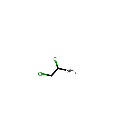 [SiH3]C(Cl)CCl